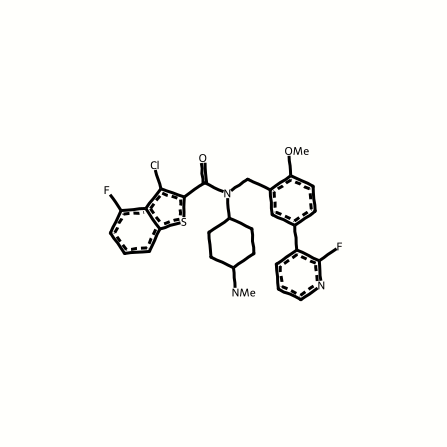 CNC1CCC(N(Cc2cc(-c3cccnc3F)ccc2OC)C(=O)c2sc3cccc(F)c3c2Cl)CC1